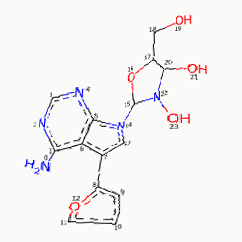 Nc1ncnc2c1c(-c1ccco1)cn2C1OC(CO)C(O)N1O